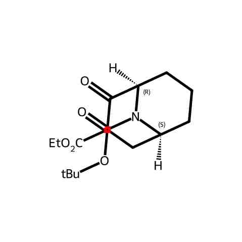 CCOC(=O)C1C[C@@H]2CCC[C@H](C1=O)N2C(=O)OC(C)(C)C